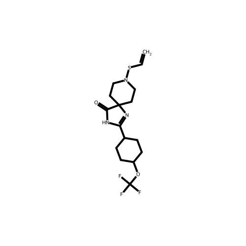 C=CSN1CCC2(CC1)N=C(C1CCC(OC(F)(F)F)CC1)NC2=O